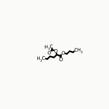 CCCCOC(=O)C(CCCC)OC(C)=O